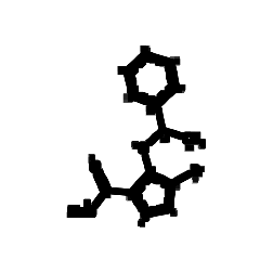 COC(=O)c1scc(Br)c1OC(C)c1ccccc1